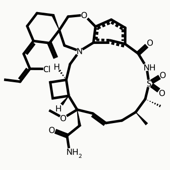 C=C1/C(=C\C(Cl)=C/C)CCC[C@]12COc1ccc3cc1N(C[C@@H]1CC[C@H]1[C@@](CC(N)=O)(OC)/C=C/C[C@H](C)[C@@H](C)S(=O)(=O)NC3=O)C2